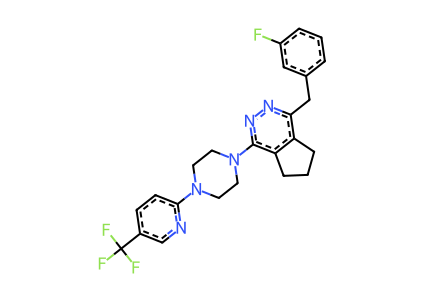 Fc1cccc(Cc2nnc(N3CCN(c4ccc(C(F)(F)F)cn4)CC3)c3c2CCC3)c1